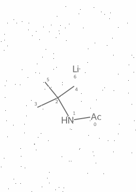 CC(=O)NC(C)(C)C.[Li]